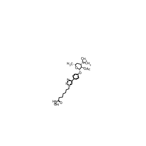 CC(=O)O[C@H]1[C@H](Oc2ccc(-c3cn(CCCCCCC(=O)NO)nn3)cc2)O[C@H](C)C[C@@H]1N(C)C